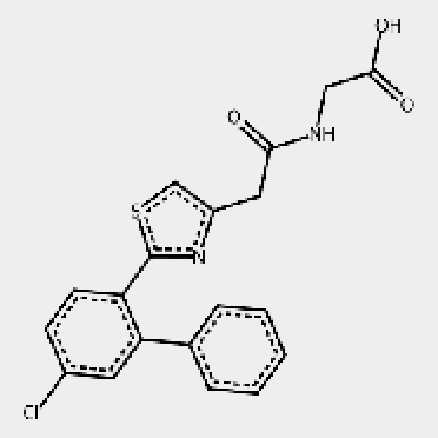 O=C(O)CNC(=O)Cc1csc(-c2ccc(Cl)cc2-c2ccccc2)n1